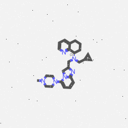 CN1CCN(C2=CC=CC3=NC(CN(CC4CC4)[C@H]4CCCc5cccnc54)CN23)CC1